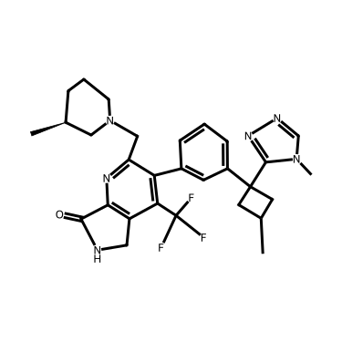 CC1CC(c2cccc(-c3c(CN4CCC[C@H](C)C4)nc4c(c3C(F)(F)F)CNC4=O)c2)(c2nncn2C)C1